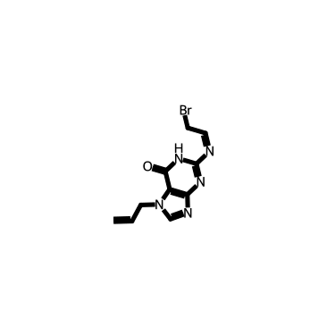 C=CCn1cnc2nc(/N=C\CBr)[nH]c(=O)c21